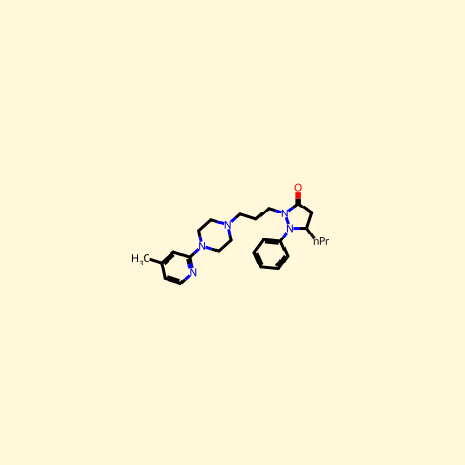 CCCC1CC(=O)N(CCCN2CCN(c3cc(C)ccn3)CC2)N1c1ccccc1